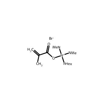 C=C(C)C(=O)O[N+](CCCCCC)(NC)NC.[Br-]